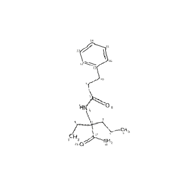 CCCC(CC)(NC(=O)CCc1ccccc1)C(N)=O